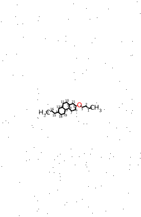 CCCCOC1CCC2C(CCC3CC(CCC)CCC32)C1